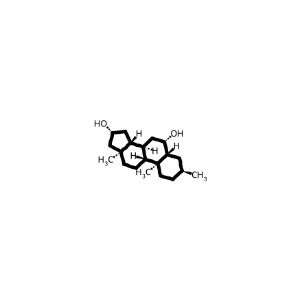 C[C@H]1CC[C@@]2(C)[C@@H]3CC[C@@]4(C)C[C@H](O)C[C@@H]4[C@H]3C[C@H](O)[C@@H]2C1